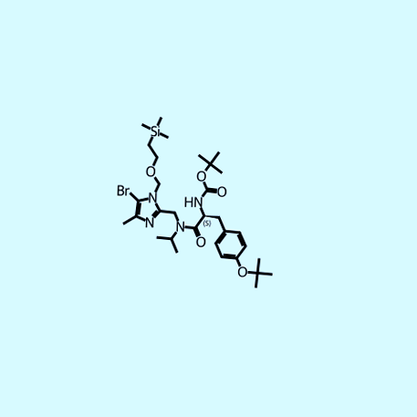 Cc1nc(CN(C(=O)[C@H](Cc2ccc(OC(C)(C)C)cc2)NC(=O)OC(C)(C)C)C(C)C)n(COCC[Si](C)(C)C)c1Br